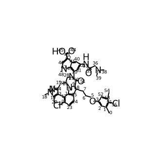 Cc1cc(OCCCc2c3n(c4c(-c5c(C)nn(C)c5C)c(Cl)ccc24)C(C)CN(c2cc(NC(=O)CN(C)C)cc4c(C(=O)O)cn(C)c24)C3=O)cc(C)c1Cl